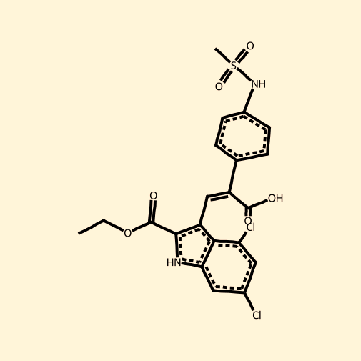 CCOC(=O)c1[nH]c2cc(Cl)cc(Cl)c2c1C=C(C(=O)O)c1ccc(NS(C)(=O)=O)cc1